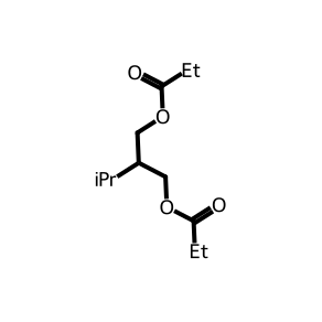 CCC(=O)OCC(COC(=O)CC)C(C)C